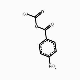 CCC(C)C(=O)OC(=O)c1ccc([N+](=O)[O-])cc1